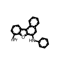 CCCc1cccc2c1oc1c(Nc3ccccc3)cc3ccccc3c12